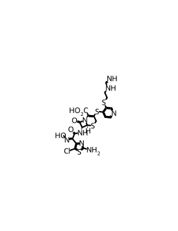 N=CNCCSc1cnccc1SC1=C(C(=O)O)N2C(=O)[C@@H](NC(=O)/C(=N\O)c3nc(N)sc3Cl)[C@@H]2SC1